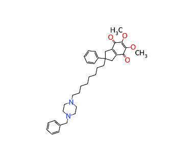 COC1=C(OC)C(=O)C2=C(CC(CCCCCCCCN3CCN(Cc4ccccc4)CC3)(c3ccccc3)C2)C1=O